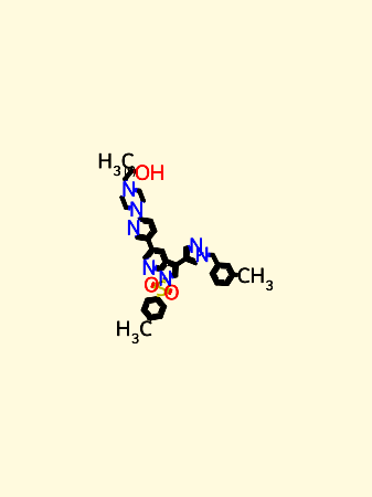 Cc1ccc(S(=O)(=O)n2cc(-c3cnn(Cc4cccc(C)c4)c3)c3cc(-c4ccc(N5CCN(C[C@H](C)O)CC5)nc4)cnc32)cc1